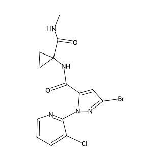 CNC(=O)C1(NC(=O)c2cc(Br)nn2-c2ncccc2Cl)CC1